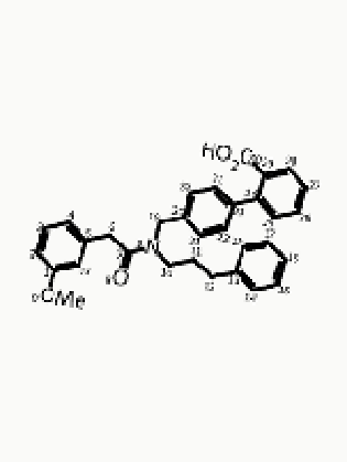 COc1cccc(CC(=O)N(CCCc2ccccc2)Cc2ccc(-c3ccccc3C(=O)O)cc2)c1